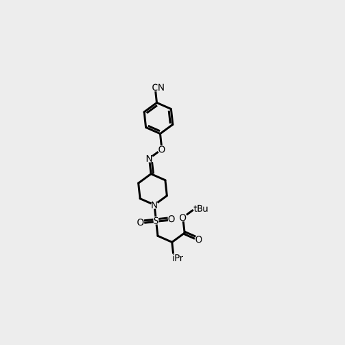 CC(C)C(CS(=O)(=O)N1CCC(=NOc2ccc(C#N)cc2)CC1)C(=O)OC(C)(C)C